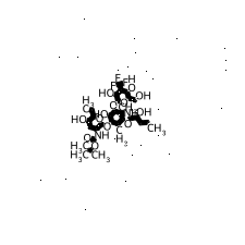 CCC[C@H](O)C(=O)NC1(C)CC(C)C(OC2OC(CC)C(O)CC2NC(=O)OC(C)(C)C)C(O)C1OC1OC(CO)C(O)C(C(F)(F)F)C1O